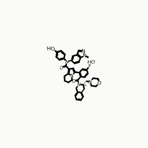 Cl.Cn1ncc2cc(N(C(=O)c3cc(-c4cc(F)ccc4C(=O)N4Cc5ccccc5C[C@H]4CN4CCOCC4)n4c3CCCC4)c3ccc(O)cc3)ccc21